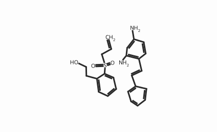 C=CCS(=O)(=O)c1ccccc1CCO.Nc1ccc(C=Cc2ccccc2)c(N)c1